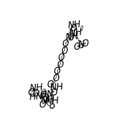 NC(=O)COCNC(=O)CNC(=O)[C@H](Cc1ccccc1)NC(=O)CNC(=O)CNC(=O)CCOCCOCCOCCOCCOCCOCCNCC(CC(N)=O)NC(=O)CCCCCN1C(=O)C=CC1=O